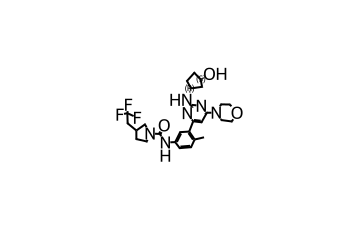 Cc1ccc(NC(=O)N2CCC(CC(F)(F)F)C2)cc1-c1cc(N2CCOCC2)nc(N[C@@H]2CC[C@H](O)C2)n1